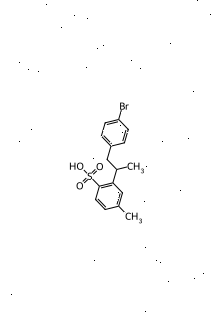 Cc1ccc(S(=O)(=O)O)c(C(C)Cc2ccc(Br)cc2)c1